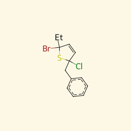 CCC1(Br)C=CC(Cl)(Cc2ccccc2)S1